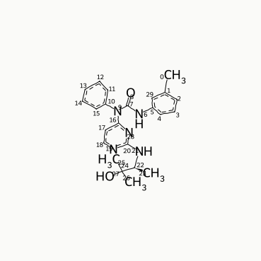 Cc1cccc(NC(=O)N(c2ccccc2)c2ccnc(N[C@@H](C)C(C)(C)O)n2)c1